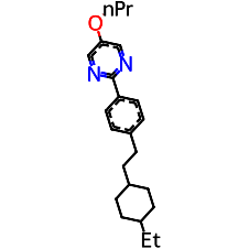 CCCOc1cnc(-c2ccc(CCC3CCC(CC)CC3)cc2)nc1